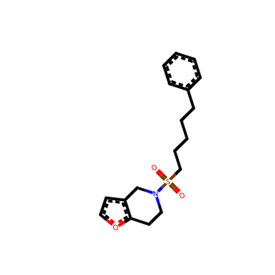 O=S(=O)(CCCCCc1ccccc1)N1CCc2occc2C1